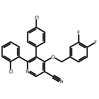 N#Cc1cnc(-c2ccccc2Cl)c(-c2ccc(Cl)cc2)c1OCc1ccc(F)c(F)c1